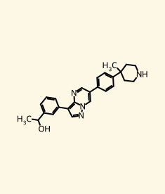 CC(O)c1cccc(-c2cnn3cc(-c4ccc(C5(C)CCNCC5)cc4)cnc23)c1